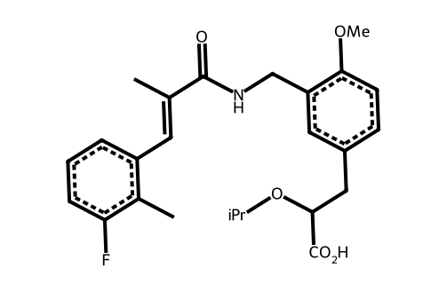 COc1ccc(CC(OC(C)C)C(=O)O)cc1CNC(=O)C(C)=Cc1cccc(F)c1C